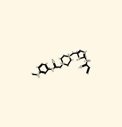 C=CC(=O)Nc1ncc(CN2CCN(CC(=O)Oc3cccc(OC)c3)CC2)s1